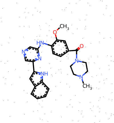 COc1cc(C(=O)N2CCN(C)CC2)ccc1Nc1cncc(-c2cc3ccccc3[nH]2)n1